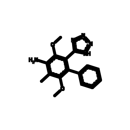 COc1c(C)c(N)c(OC)c(-c2nnn[nH]2)c1-c1ccccc1